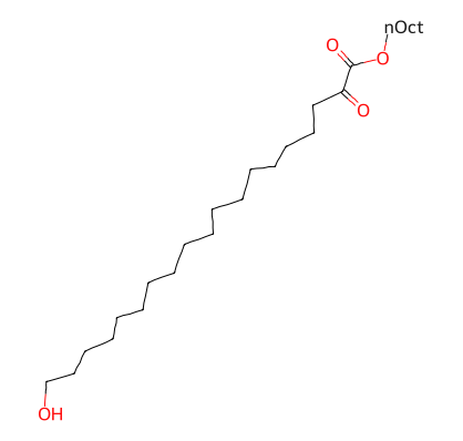 CCCCCCCCOC(=O)C(=O)CCCCCCCCCCCCCCCCCO